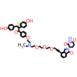 CCN(CCOCCOCCOCC#Cc1cccc2c1CN(C1CCC(=O)NC1=O)C2=O)CCOc1ccc(C(=O)c2c(-c3ccc(O)cc3)sc3cc(O)ccc23)cc1